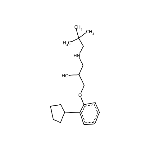 CC(C)(C)CNCC(O)COc1ccccc1C1CCCC1